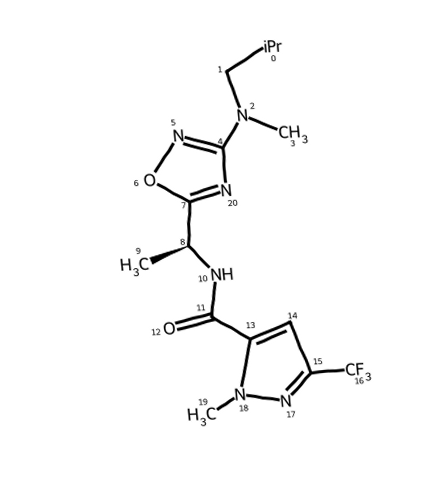 CC(C)CN(C)c1noc([C@H](C)NC(=O)c2cc(C(F)(F)F)nn2C)n1